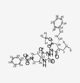 CC(C)CC(C(=O)NN1C(=O)NC2(CCN(S(=O)(=O)c3ccccc3)CC2)C1=O)[C@@H](CCCc1ccccc1)C(=O)OC(C)(C)C